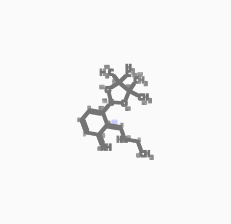 CCN/C=C1\C(=N)C=CC=C1B1OC(C)(C)C(C)(C)O1